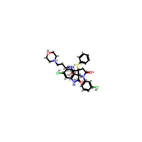 O=C1CC(Sc2ccccc2)(C(=O)NCCCN2CCOCC2)C2(C(=O)NC3=C2CCC(Cl)=C3)N1c1cccc(Cl)c1